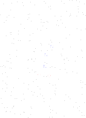 Cc1cnc(N2CCN(C(=O)OC(C)(C)C)CC2)c(C)c1